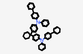 C1=CCCC(N(c2ccc(C3=CCCC=C3)cc2)c2ccc(C3(c4ccc(N(c5ccccc5)c5ccc(-c6ccccc6)cc5)cc4)CCCCC3)cc2)=C1